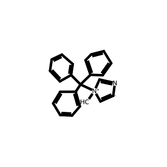 O=C[N+]1(C(c2ccccc2)(c2ccccc2)c2ccccc2)C=[C]N=C1